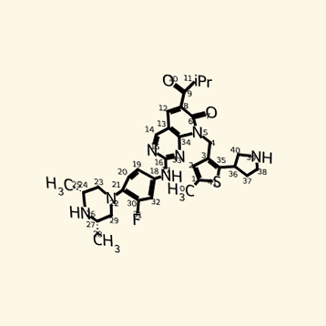 Cc1cc(Cn2c(=O)c(C(=O)C(C)C)cc3cnc(Nc4ccc(N5C[C@@H](C)N[C@@H](C)C5)c(F)c4)nc32)c(C2CCNC2)s1